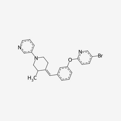 CC1CN(c2cccnc2)CCC1=Cc1cccc(Oc2ccc(Br)cn2)c1